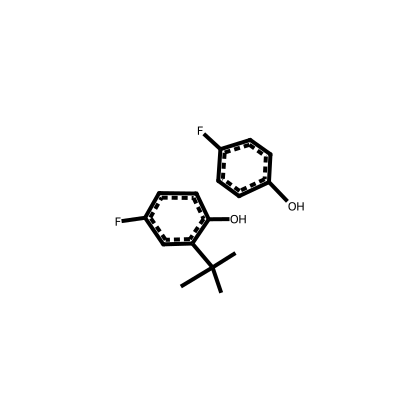 CC(C)(C)c1cc(F)ccc1O.Oc1ccc(F)cc1